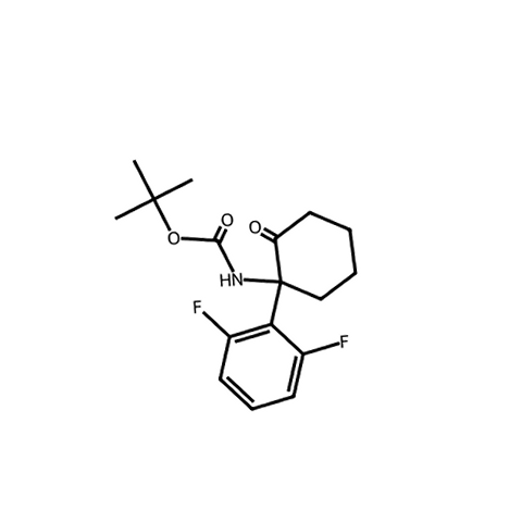 CC(C)(C)OC(=O)NC1(c2c(F)cccc2F)CCCCC1=O